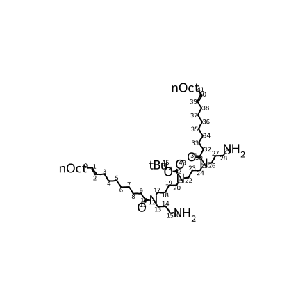 CCCCCCCCC=CCCCCCCCC(=O)N(CCCN)CCCCN(CCCN(CCCN)C(=O)CCCCCCCC=CCCCCCCCC)C(=O)OC(C)(C)C